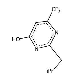 CC(C)Cc1nc(O)cc(C(F)(F)F)n1